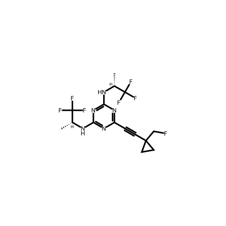 C[C@@H](Nc1nc(C#CC2(CF)CC2)nc(N[C@H](C)C(F)(F)F)n1)C(F)(F)F